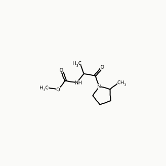 COC(=O)NC(C)C(=O)N1CCCC1C